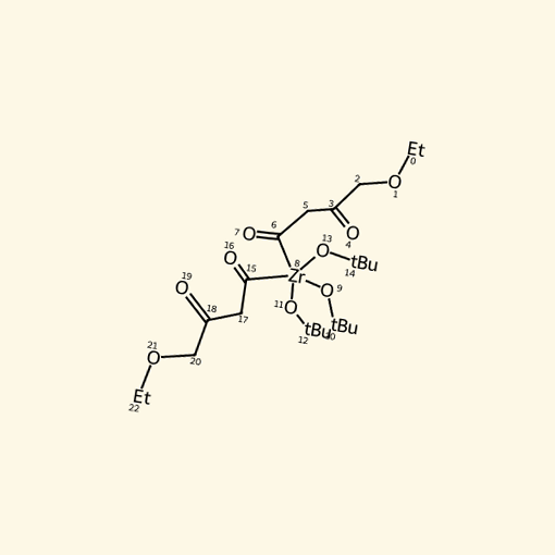 CCOCC(=O)C[C](=O)[Zr]([O]C(C)(C)C)([O]C(C)(C)C)([O]C(C)(C)C)[C](=O)CC(=O)COCC